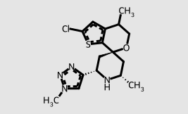 CC1CO[C@@]2(C[C@@H](c3cn(C)nn3)N[C@@H](C)C2)c2sc(Cl)cc21